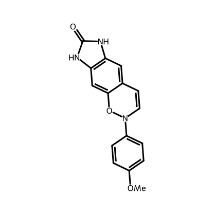 COc1ccc(N2C=Cc3cc4[nH]c(=O)[nH]c4cc3O2)cc1